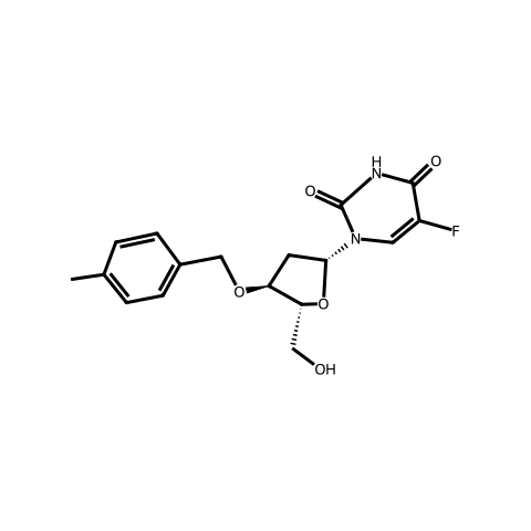 Cc1ccc(CO[C@H]2C[C@H](n3cc(F)c(=O)[nH]c3=O)O[C@@H]2CO)cc1